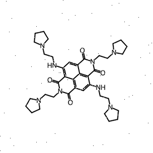 O=C1c2cc(NCCN3CCCC3)c3c4c(cc(NCCN5CCCC5)c(c24)C(=O)N1CCN1CCCC1)C(=O)N(CCN1CCCC1)C3=O